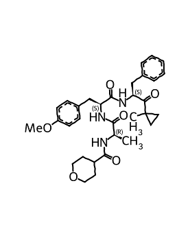 COc1ccc(C[C@H](NC(=O)[C@@H](C)NC(=O)C2CCOCC2)C(=O)N[C@@H](Cc2ccccc2)C(=O)C2(C)CC2)cc1